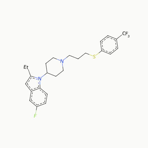 CCc1cc2cc(F)ccc2n1C1CCN(CCCSc2ccc(C(F)(F)F)cc2)CC1